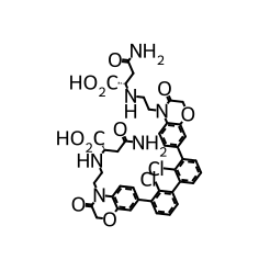 NC(=O)C[C@H](NCCN1C(=O)COc2cc(-c3cccc(-c4cccc(-c5ccc6c(c5)OCC(=O)N6CCN[C@@H](CC(N)=O)C(=O)O)c4Cl)c3Cl)ccc21)C(=O)O